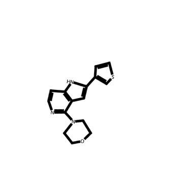 c1cc2[nH]c(-c3ccsc3)cc2c(N2CCOCC2)n1